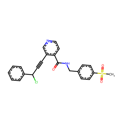 CS(=O)(=O)c1ccc(CNC(=O)c2ccncc2C#CC(Cl)c2ccccc2)cc1